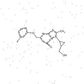 Cc1sc2nc(COc3cccc(F)c3)cc(=O)n2c1C1CC1CO